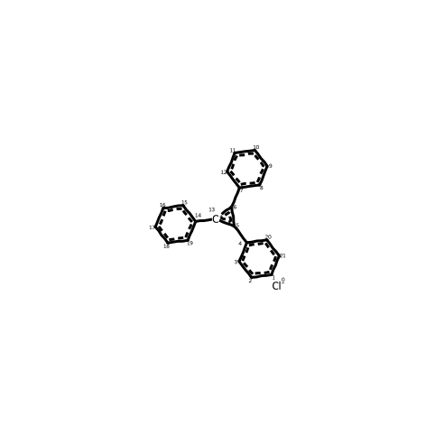 [Cl-].c1ccc(-c2c(-c3ccccc3)[c+]2-c2ccccc2)cc1